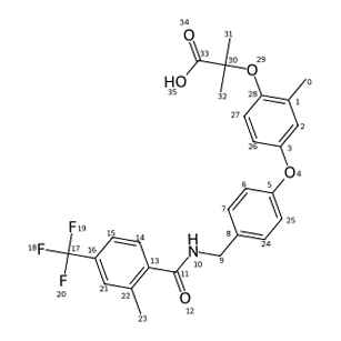 Cc1cc(Oc2ccc(CNC(=O)c3ccc(C(F)(F)F)cc3C)cc2)ccc1OC(C)(C)C(=O)O